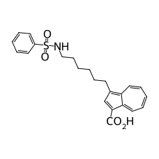 O=C(O)c1cc(CCCCCCNS(=O)(=O)c2ccccc2)c2cccccc1-2